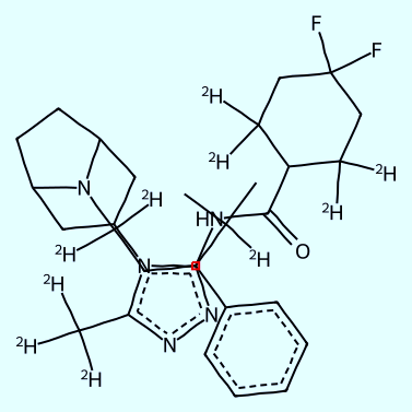 [2H]C([2H])([2H])c1nnc(C([2H])(C)C)n1C1CC2CCC(C1)N2C([2H])([2H])CC(NC(=O)C1C([2H])([2H])CC(F)(F)CC1([2H])[2H])c1ccccc1